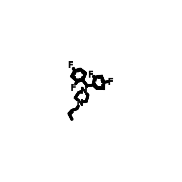 C/C=C\CN1CCN(C(c2ccc(F)cc2F)c2ccc(F)cc2F)CC1